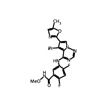 CONC(=O)c1cc(Nc2ncnn3cc(-c4ncc(C)o4)c(C(C)C)c23)c(F)cc1F